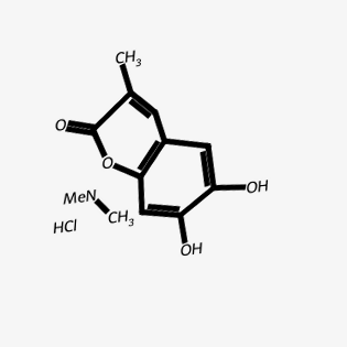 CNC.Cc1cc2cc(O)c(O)cc2oc1=O.Cl